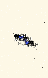 COC1=C(/C=C/C(C)=[N+](\CC(=O)O)c2ccc3ccccc3c2C)CCC/C1=C\C=C(/C)N(CC(=O)O)c1ccc2ccccc2c1C